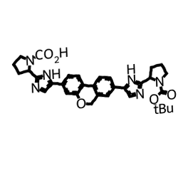 CC(C)(C)OC(=O)N1CCCC1c1ncc(-c2ccc3c(c2)COc2cc(-c4cnc(C5CCCN5C(=O)O)[nH]4)ccc2-3)[nH]1